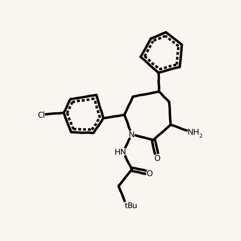 CC(C)(C)CC(=O)NN1C(=O)C(N)CC(c2ccccc2)CC1c1ccc(Cl)cc1